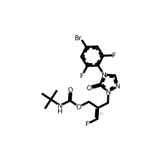 CC(C)(C)NC(=O)OC/C(=C\F)Cn1ncn(-c2c(F)cc(Br)cc2F)c1=O